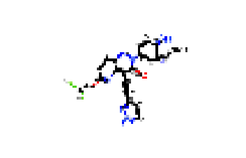 CN/C=C1/C=C(n2nc3ccc(OCC(F)F)nc3c(C#Cc3cc[nH]n3)c2=O)C=CC1=N